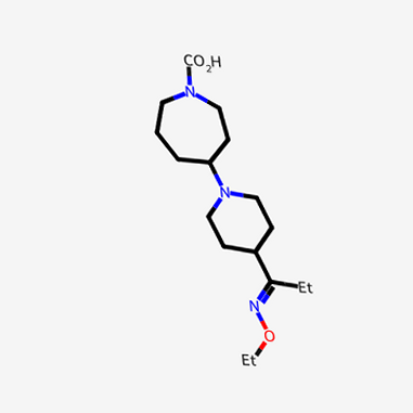 CCO/N=C(\CC)C1CCN(C2CCCN(C(=O)O)CC2)CC1